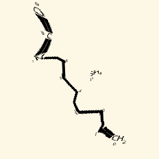 C=CCCCCCN=C=O.[SiH4]